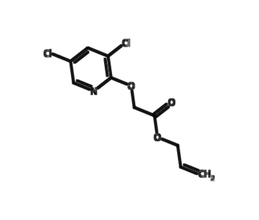 C=CCOC(=O)COc1ncc(Cl)cc1Cl